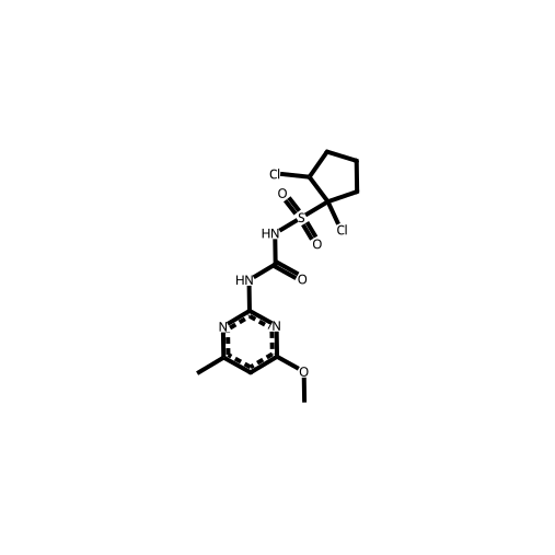 COc1cc(C)nc(NC(=O)NS(=O)(=O)C2(Cl)CCCC2Cl)n1